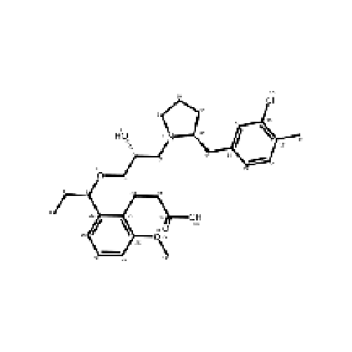 CC[C@@H](OC[C@H](O)CN1CCC[C@H]1Cc1ccc(C)c(Cl)c1)c1cccc(OC)c1CCC(=O)O